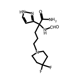 NC(=O)C(CCCN1CCC(F)(F)CC1)(NC=O)c1cc[nH]n1